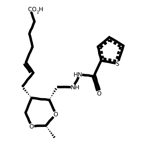 C[C@@H]1OC[C@H](CC=CCCCC(=O)O)[C@H](CNNC(=O)c2cccs2)O1